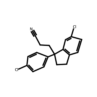 N#CCCC1(c2ccc(Cl)cc2)CCc2ccc(Cl)cc21